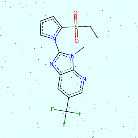 CCS(=O)(=O)c1cccn1-c1nc2cc(C(F)(F)F)cnc2n1C